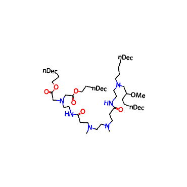 CCCCCCCCCCCCCCN(CCNC(=O)CCN(C)CCN(C)CCC(=O)NCCN(CC(=O)OCCCCCCCCCCCC)CC(=O)OCCCCCCCCCCCC)CC(CCCCCCCCCCCC)OC